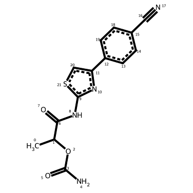 CC(OC(N)=O)C(=O)Nc1nc(-c2ccc(C#N)cc2)cs1